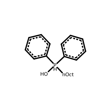 CCCCCCCC[PH](O)(c1ccccc1)c1ccccc1